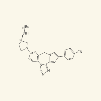 CC[C@H](C)NC[C@@H]1CCN(c2ccc3c(c2)Cn2cc(-c4ccc(C#N)cc4)cc2-c2nncn2-3)C1